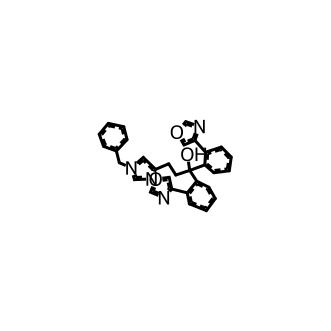 OC(CCc1cn(Cc2ccccc2)cn1)(c1ccccc1-c1cocn1)c1ccccc1-c1cocn1